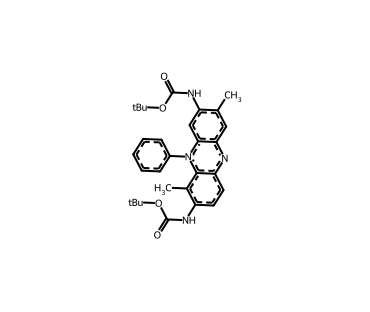 Cc1cc2nc3ccc(NC(=O)OC(C)(C)C)c(C)c3[n+](-c3ccccc3)c2cc1NC(=O)OC(C)(C)C